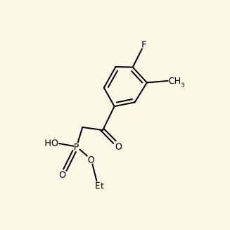 CCOP(=O)(O)CC(=O)c1ccc(F)c(C)c1